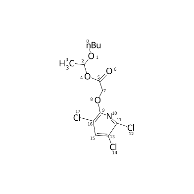 CCCCOC(C)OC(=O)COc1nc(Cl)c(Cl)cc1Cl